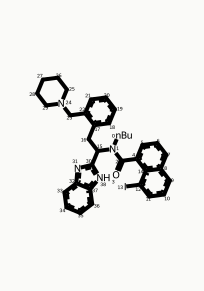 CCCCN(C(=O)c1cccc2cccc(I)c12)C(Cc1ccccc1CN1CCCCC1)c1nc2ccccc2[nH]1